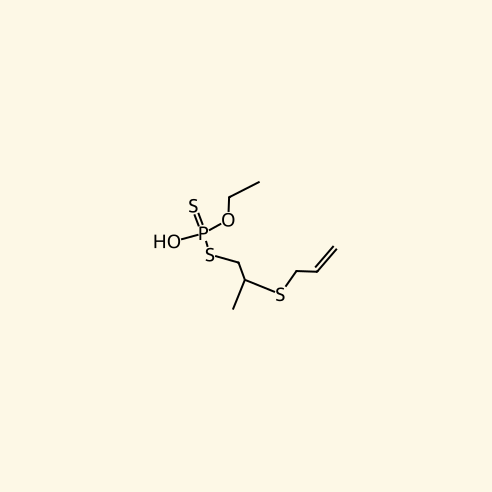 C=CCSC(C)CSP(O)(=S)OCC